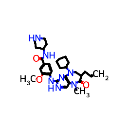 C=CCC1CN(C2CCCCC2)c2nc(Nc3ccc(C(=O)NC4CCNCC4)cc3OC)ncc2N(C)C1=O